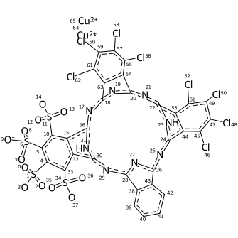 O=S(=O)([O-])c1c(S(=O)(=O)[O-])c(S(=O)(=O)[O-])c2c3nc4nc(nc5[nH]c(nc6nc(nc([nH]3)c2c1S(=O)(=O)[O-])-c1ccccc1-6)c1c(Cl)c(Cl)c(Cl)c(Cl)c51)-c1c(Cl)c(Cl)c(Cl)c(Cl)c1-4.[Cu+2].[Cu+2]